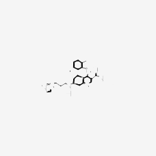 COc1cc2c(Nc3ccccc3C)c(C(N)=O)cnc2cc1NCCCn1ccnc1